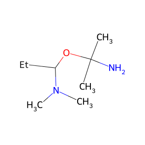 CCC(OC(C)(C)N)N(C)C